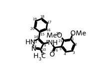 COc1cccc(C(=O)Nc2c(C)n[nH]c2-c2ccccc2)c1OC